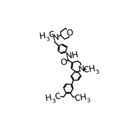 CCc1ccc(-c2ccc3c(c2)C=C(C(=O)Nc2ccc(CN(C)C4CCOCC4)cc2)CCN3C)cc1CC